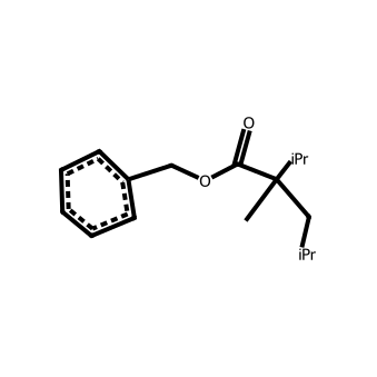 CC(C)CC(C)(C(=O)OCc1ccccc1)C(C)C